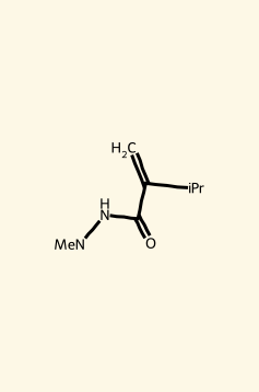 C=C(C(=O)NNC)C(C)C